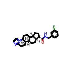 O=C(NCc1cccc(F)c1)[C@@H]1CC[C@H]2[C@@H]3CCC4[C@H](C=Cc5nccn54)[C@H]3CC[C@@H]21